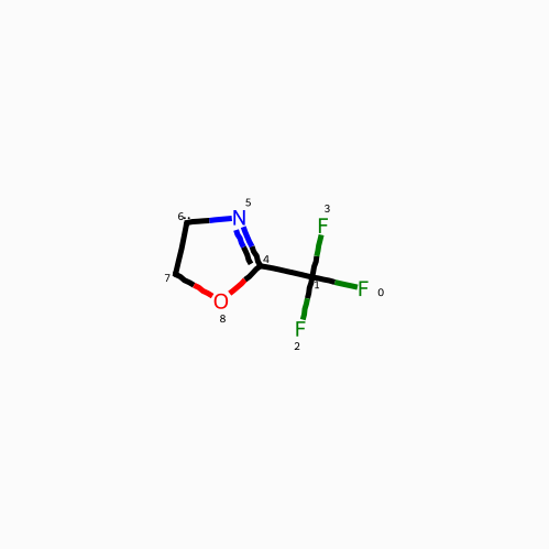 FC(F)(F)C1=N[C]CO1